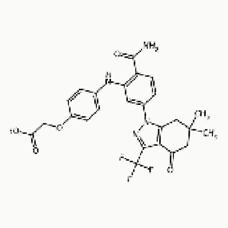 CC1(C)CC(=O)c2c(C(F)(F)F)nn(-c3ccc(C(N)=O)c(Nc4ccc(OCC(=O)O)cc4)c3)c2C1